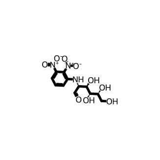 O=C[C@H](Nc1cccc([N+](=O)[O-])c1[N+](=O)[O-])[C@@H](O)[C@@H](O)[C@H](O)CO